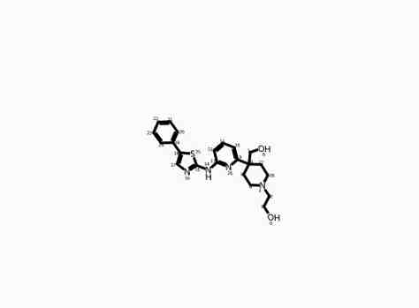 OCCN1CCC(CO)(c2cccc(Nc3ncc(-c4ccccc4)s3)n2)CC1